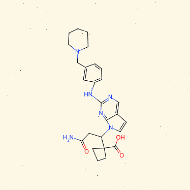 NC(=O)CC(n1ccc2cnc(Nc3cccc(CN4CCCCC4)c3)nc21)C1(C(=O)O)CCC1